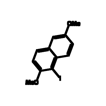 COc1ccc2c(I)c(OC)ccc2c1